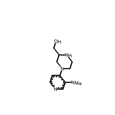 CNc1cnccc1N1CCNC(CO)C1